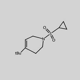 CC(C)(C)C1=CCN(S(=O)(=O)C2CC2)CC1